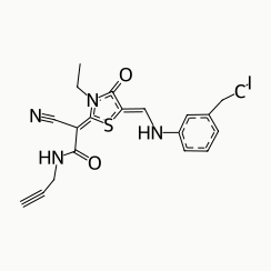 C#CCNC(=O)C(C#N)=c1sc(=CNc2cccc(CCI)c2)c(=O)n1CC